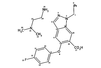 CC(C)Cn1ncc2cc(Oc3ccc(F)cc3)c(C(=O)O)cc21.CN(C)CCN